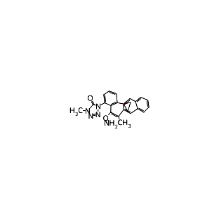 C/C(=C(\ON)c1c(C2CC2)cccc1-n1nnn(C)c1=O)c1ccc2ccccc2c1